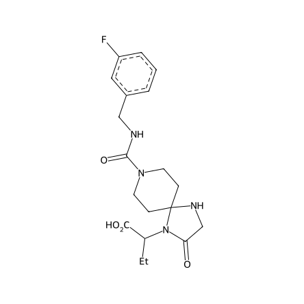 CCC(C(=O)O)N1C(=O)CNC12CCN(C(=O)NCc1cccc(F)c1)CC2